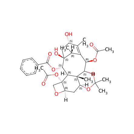 CC(=O)O[C@@H]1C2=C(C)[C@@H](O)C[C@](O)([C@@H]2C)[C@@H](OC(=O)c2ccccc2)[C@@H]2[C@]3(OC(C)=O)CO[C@@H]3C[C@@H]3OC(C)(C)O[C@H]1[C@]32C